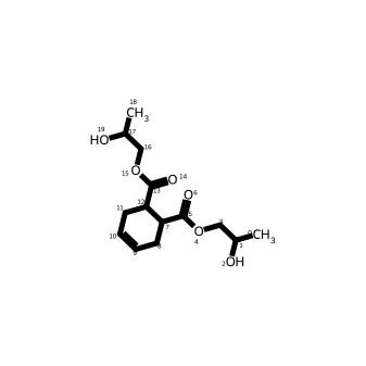 CC(O)COC(=O)C1CC=CCC1C(=O)OCC(C)O